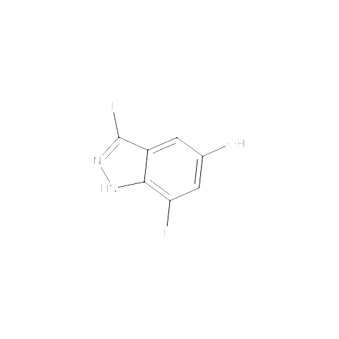 Oc1cc(F)c2[nH]nc(I)c2c1